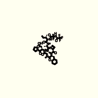 CC[C@H](C)[C@H](NC(=O)C(C)(C)NC(=O)C(F)(F)F)C(=O)N(C)[C@@H](C)C(=O)N1CC[C@H]1C(=O)N(C)[C@@H](CC1CCCCC1)C(=O)N(C)CC(=O)N[C@@H](CC(=O)O)C(=O)N1CCCC1